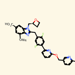 COc1cc(C(=O)O)cc2c1nc(Cc1cc(F)c(-c3cccc(OCc4ccc(C#N)nc4)n3)cc1F)n2C[C@@H]1CCO1